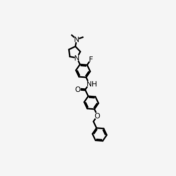 CN(C)C1CCN(c2ccc(NC(=O)c3ccc(OCc4ccccc4)cc3)cc2F)C1